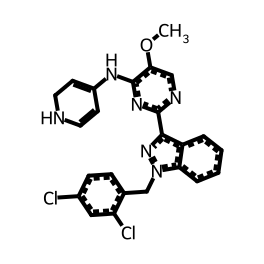 COc1cnc(-c2nn(Cc3ccc(Cl)cc3Cl)c3ccccc23)nc1NC1=CCNC=C1